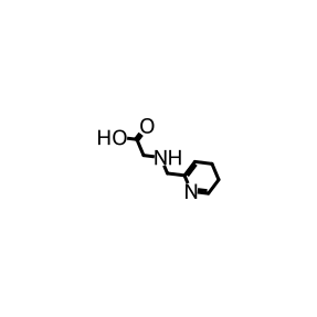 O=C(O)CNCC1=CCCC=N1